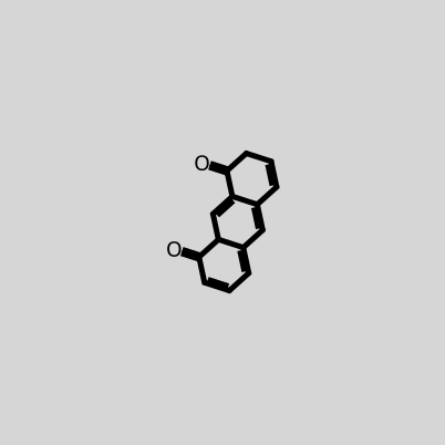 O=C1CC=CC2=CC3=CC=CC(=O)C3C=C12